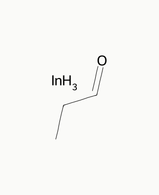 CCC=O.[InH3]